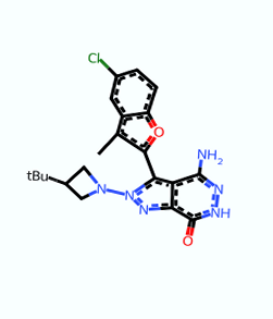 Cc1c(-c2c3c(N)n[nH]c(=O)c3nn2N2CC(C(C)(C)C)C2)oc2ccc(Cl)cc12